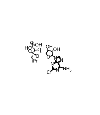 CC(C)CS(=O)(=O)[C@H](OC[C@H]1O[C@@H](n2cnc3c(N)nc(Cl)nc32)[C@H](O)[C@@H]1O)P(=O)(O)O